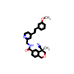 COc1cccc(/C=C/c2ccnc(CNC(=O)c3ccc4c(c3)[C@](C)(C#N)COC4)c2)c1